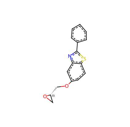 c1ccc(-c2nc3cc(OC[C@@H]4CO4)ccc3s2)cc1